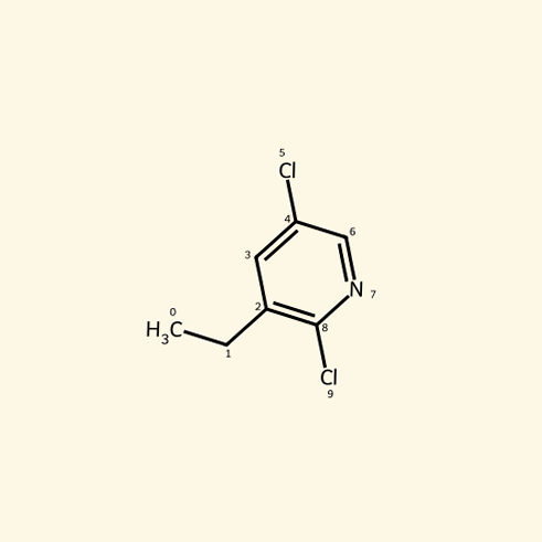 CCc1cc(Cl)cnc1Cl